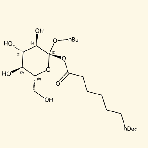 CCCCCCCCCCCCCCCC(=O)O[C@@]1(OCCCC)O[C@H](CO)[C@@H](O)[C@H](O)[C@H]1O